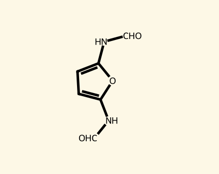 O=CNc1ccc(NC=O)o1